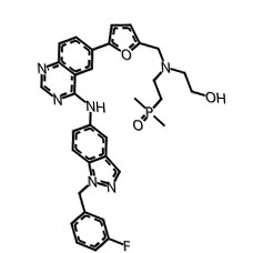 CP(C)(=O)CCN(CCO)Cc1ccc(-c2ccc3ncnc(Nc4ccc5c(cnn5Cc5cccc(F)c5)c4)c3c2)o1